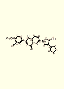 COc1ccc(C2=CC(=O)N3C=C(N4CC(O)[C@@H](N5CCCC5)C4)C=CC3P2)cc1F